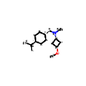 CC(C)O[C@H]1C[C@H](N(C[C@H]2CC[C@H](C(C)C(C)C)CC2)C(C)C)C1